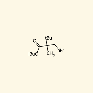 CC(C)COC(=O)C(C)(CC(C)C)C(C)(C)C